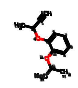 C#CC(C)Oc1ccccc1OC(C)OC